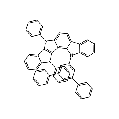 c1ccc(-c2cc(-c3ccccc3)cc(-n3c4ccccc4c4ccc5c(c43)c3c(c4ccccc4n3-c3ccccc3)n5-c3ccccc3)c2)cc1